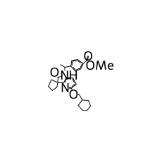 COC(=O)c1ccc(C(C)NC(=O)C2(c3cccc(OCC4CCCCC4)n3)CCCC2)cc1